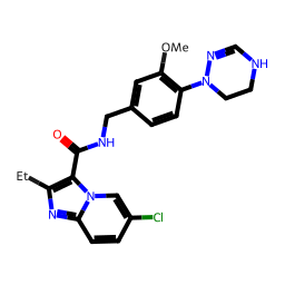 CCc1nc2ccc(Cl)cn2c1C(=O)NCc1ccc(N2CCNC=N2)c(OC)c1